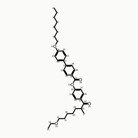 CCCCCCCCOc1ccc(-c2ccc(C(=O)Oc3ccc(C(=O)C(C)CCCCCOCC)cc3)cc2)cc1